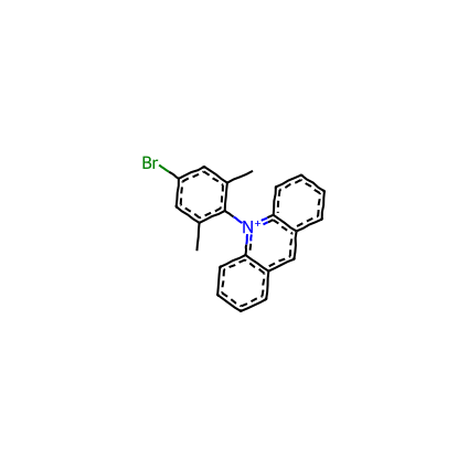 Cc1cc(Br)cc(C)c1-[n+]1c2ccccc2cc2ccccc21